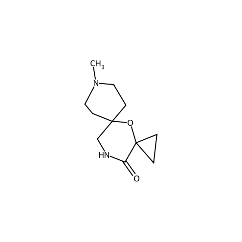 CN1CCC2(CC1)CNC(=O)C1(CC1)O2